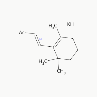 CC(=O)/C=C/C1=C(C)CCCC1(C)C.[KH]